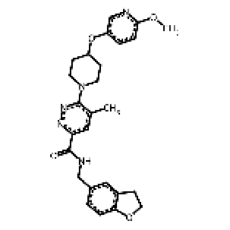 COc1ccc(OC2CCN(c3nnc(C(=O)NCc4ccc5c(c4)CCO5)cc3C)CC2)cn1